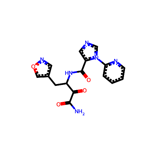 NC(=O)C(=O)C(Cc1cnoc1)NC(=O)c1cncn1-c1ccccn1